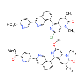 COC(=O)c1ccc(-c2cc3cccc(-c4nc(OC(C)C)cc5c4cc(C)c(=O)n5C)c3cn2)cn1.Cc1cc2c(-c3cccc4cc(-c5ccc(C(=O)O)nc5)ncc34)nc(Cl)cc2n(C)c1=O